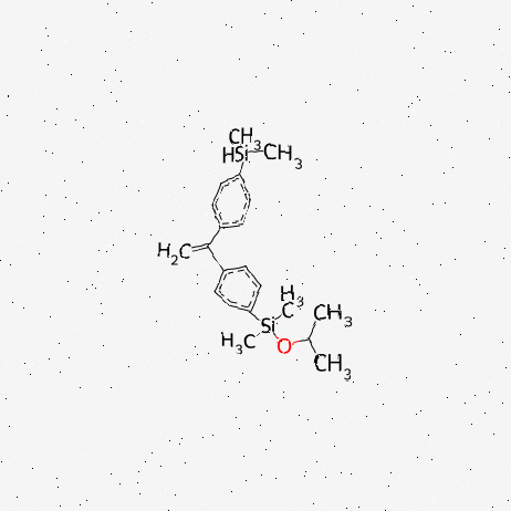 C=C(c1ccc([SiH](C)C)cc1)c1ccc([Si](C)(C)OC(C)C)cc1